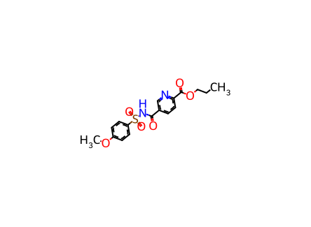 CCCOC(=O)c1ccc(C(=O)NS(=O)(=O)c2ccc(OC)cc2)cn1